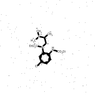 CCOC(=O)Nc1ccc(Cl)cc1N(CC(C)N(C)C)C(=O)OCC